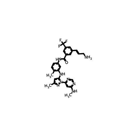 CNc1cc(-n2nc(C)cc2Nc2cc(NC(=O)c3cc(C=CCN)cc(C(F)(F)F)c3)ccc2C)ncn1